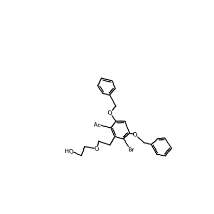 CC(=O)c1c(OCc2ccccc2)cc(OCc2ccccc2)c(Br)c1CCOCCO